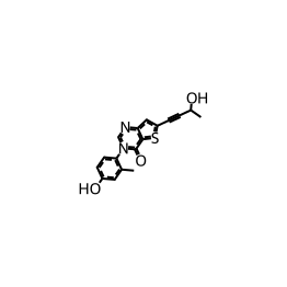 Cc1cc(O)ccc1-n1cnc2cc(C#CC(C)O)sc2c1=O